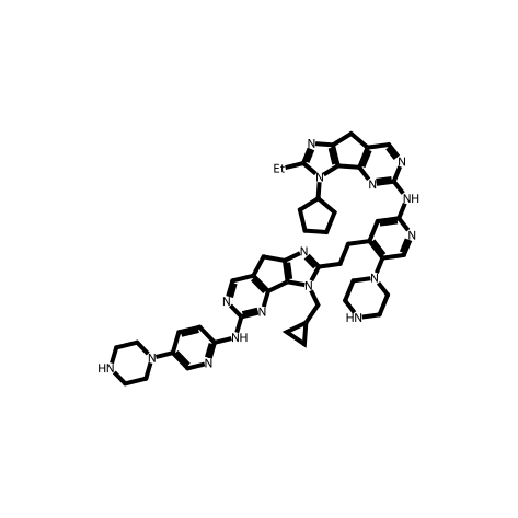 CCc1nc2c(n1C1CCCC1)-c1nc(Nc3cc(CCc4nc5c(n4CC4CC4)-c4nc(Nc6ccc(N7CCNCC7)cn6)ncc4C5)c(N4CCNCC4)cn3)ncc1C2